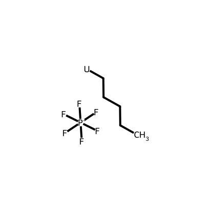 CCCC[CH2][U].F[P-](F)(F)(F)(F)F